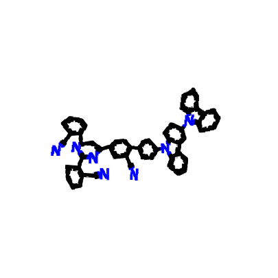 N#Cc1cc(-c2cc(-c3ccccc3C#N)nc(-c3ccccc3C#N)n2)ccc1-c1ccc(-n2c3ccccc3c3cc(-n4c5ccccc5c5ccccc54)ccc32)cc1